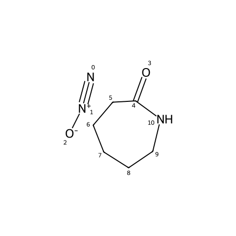 N#[N+][O-].O=C1CCCCCN1